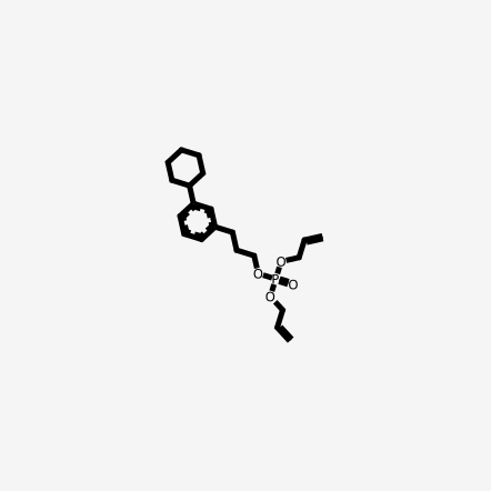 C=CCOP(=O)(OCC=C)OCCCc1cccc(C2CCCCC2)c1